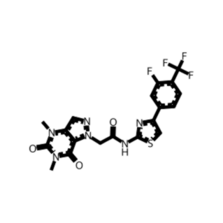 Cn1c(=O)c2c(cnn2CC(=O)Nc2nc(-c3ccc(C(F)(F)F)c(F)c3)cs2)n(C)c1=O